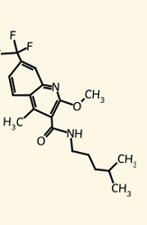 COc1nc2cc(C(F)(F)F)ccc2c(C)c1C(=O)NCCCC(C)C